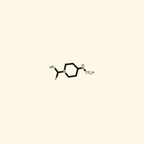 CCCC(F)N1CCC(NC(=O)O)CC1